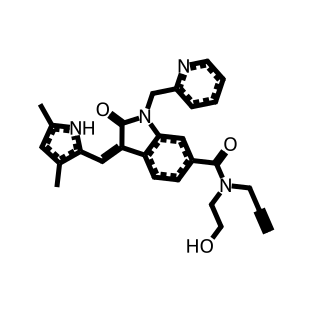 C#CCN(CCO)C(=O)c1ccc2c(c1)N(Cc1ccccn1)C(=O)/C2=C\c1[nH]c(C)cc1C